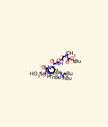 CCCC[N+](CCCC)(CCCC)CCCC.CN(CCONC(=O)[C@@H]1CC[C@@H]2CN1C(=O)N2OS(=O)(=O)O)C(=O)OC(C)(C)C